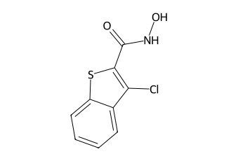 O=C(NO)c1sc2ccccc2c1Cl